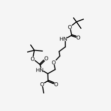 COC(=O)C(COCCCNC(=O)OC(C)(C)C)NC(=O)OC(C)(C)C